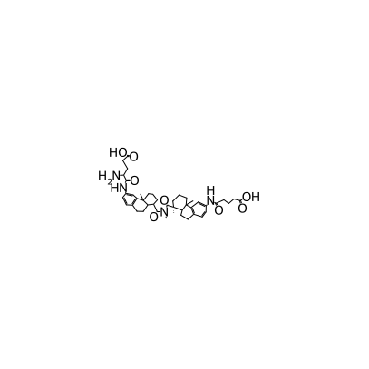 CN(C(=O)C1CCCC2(C)c3cc(NC(=O)C(N)CCC(=O)O)ccc3CCC12)C(=O)[C@@]1(C)CCCC2(C)c3cc(NC(=O)CCCC(=O)O)ccc3CCC21